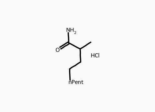 CCCCCCCC(C)C(N)=O.Cl